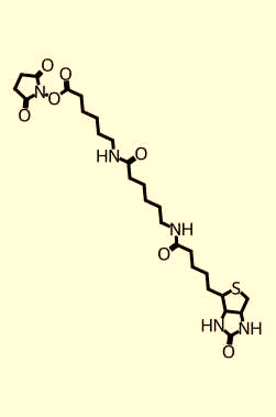 O=C(CCCCCNC(=O)CCCCC1SCC2NC(=O)NC21)NCCCCCC(=O)ON1C(=O)CCC1=O